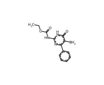 Bc1c(-c2ccccc2)nc(NC(=O)OCC)[nH]c1=O